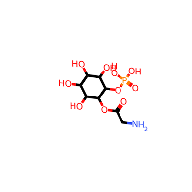 NCC(=O)OC1C(O)C(O)C(O)C(O)C1OP(=O)(O)O